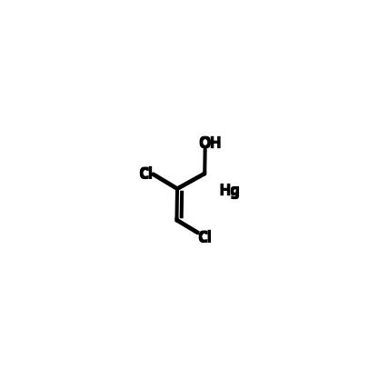 OC/C(Cl)=C\Cl.[Hg]